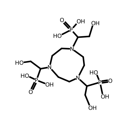 O=P(O)(O)C(CO)N1CCN(C(CO)P(=O)(O)O)CCN(C(CO)P(=O)(O)O)CC1